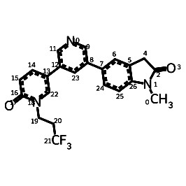 CN1C(=O)Cc2cc(-c3cncc(-c4ccc(=O)n(CCC(F)(F)F)c4)c3)ccc21